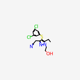 CCc1c(Sc2cc(Cl)cc(Cl)c2)c(CC#N)nn1CCO